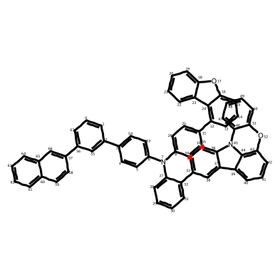 c1cc(-c2ccc(N(c3ccc(-c4cccc5oc6ccccc6c45)cc3)c3ccccc3-c3ccc4c(c3)c3cccc5c3n4-c3ccccc3O5)cc2)cc(-c2ccc3ccccc3c2)c1